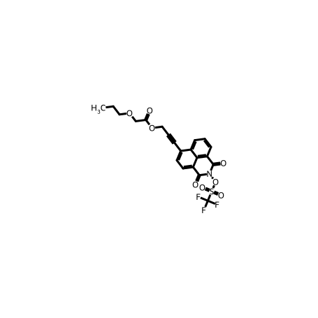 CCCOCC(=O)OCC#Cc1ccc2c3c(cccc13)C(=O)N(OS(=O)(=O)C(F)(F)F)C2=O